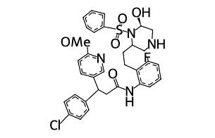 COc1ccc(C(CC(=O)Nc2cccc(F)c2CCC2CNC[C@H](O)N2S(=O)(=O)c2ccccc2)c2ccc(Cl)cc2)cn1